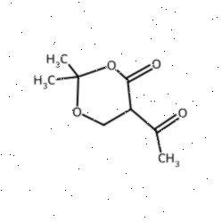 CC(=O)C1COC(C)(C)OC1=O